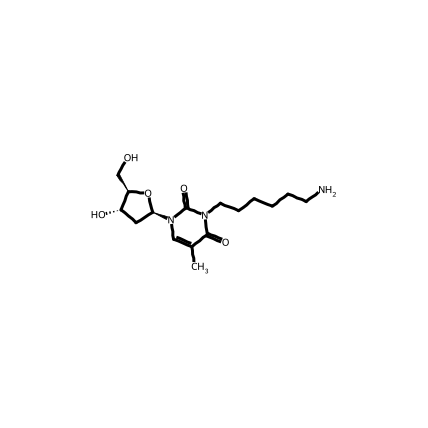 Cc1cn([C@H]2C[C@H](O)[C@@H](CO)O2)c(=O)n(CCCCCCN)c1=O